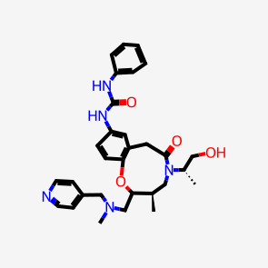 C[C@@H]1CN([C@@H](C)CO)C(=O)Cc2cc(NC(=O)Nc3ccccc3)ccc2OC1CN(C)Cc1ccncc1